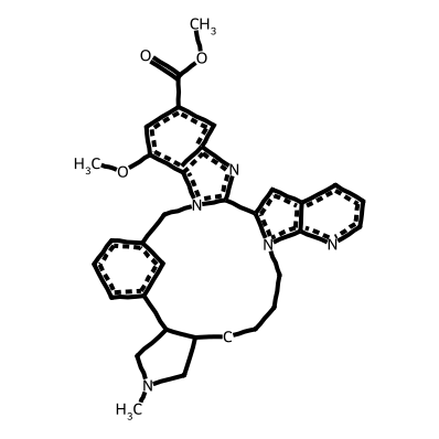 COC(=O)c1cc(OC)c2c(c1)nc1n2Cc2cccc(c2)C2CN(C)CC2CCCCn2c-1cc1cccnc12